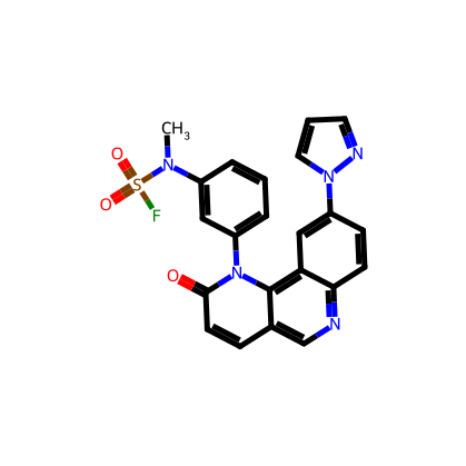 CN(c1cccc(-n2c(=O)ccc3cnc4ccc(-n5cccn5)cc4c32)c1)S(=O)(=O)F